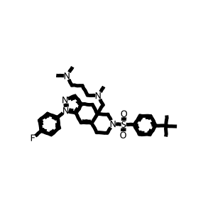 CN(C)CCCN(C)CC12Cc3cnn(-c4ccc(F)cc4)c3C=C1CCN(S(=O)(=O)c1ccc(C(C)(C)C)cc1)C2